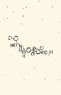 Cl.O=C(O)c1ccc(S(=O)(=O)c2ccc(CCNC[C@@H](O)c3cccc(Cl)c3)cc2)cc1Cl